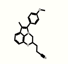 COc1ccc(-c2c(C)c3cccc4c3n2CC(CCC#N)O4)cc1